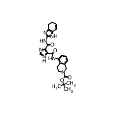 CC(C)(C)OC(=O)N1CCc2c(cccc2NC(=O)c2[nH]cnc2C(=O)Nc2nc3c([nH]2)C=CCC3)C1